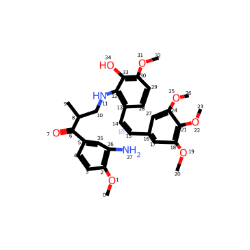 COc1ccc(C(=O)C(C)CNc2c(/C=C\c3cc(OC)c(OC)c(OC)c3)ccc(OC)c2O)cc1N